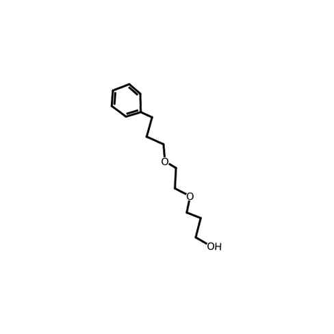 OCCCOCCOCCCc1ccccc1